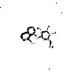 OC[C@H]1OC(Oc2cccc3cccc(O)c23)[C@H](O)[C@@H](O)[C@@H]1O